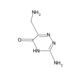 NCc1nnc(N)[nH]c1=O